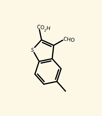 Cc1ccc2sc(C(=O)O)c(C=O)c2c1